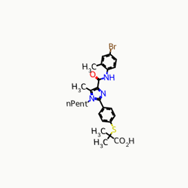 CCCCCn1c(-c2ccc(SC(C)(C)C(=O)O)cc2)nc(C(=O)Nc2ccc(Br)cc2C)c1C